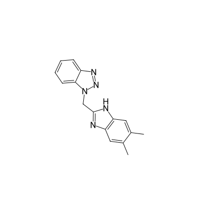 Cc1cc2nc(Cn3nnc4ccccc43)[nH]c2cc1C